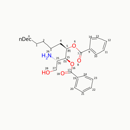 CCCCCCCCCCCCCC[C@@H](OC(=O)c1ccccc1)[C@@H](OC(=O)c1ccccc1)[C@@H](N)CO